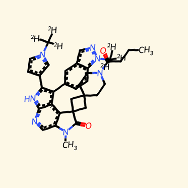 [2H]C([2H])([2H])n1ccc(-c2[nH]c3ncc4c(c3c2-c2ccc3c(cnn3C([2H])([2H])[2H])c2)C2(CC3(CCN(C(=O)CCC)CC3)C2)C(=O)N4C)c1